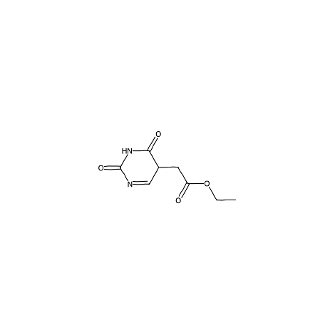 CCOC(=O)CC1C=NC(=O)NC1=O